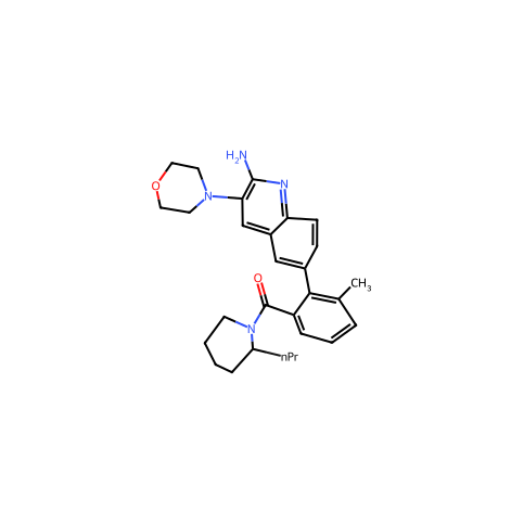 CCCC1CCCCN1C(=O)c1cccc(C)c1-c1ccc2nc(N)c(N3CCOCC3)cc2c1